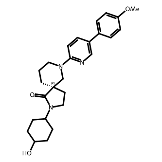 COc1ccc(-c2ccc(N3CCC[C@@]4(CCN(C5CCC(O)CC5)C4=O)C3)nc2)cc1